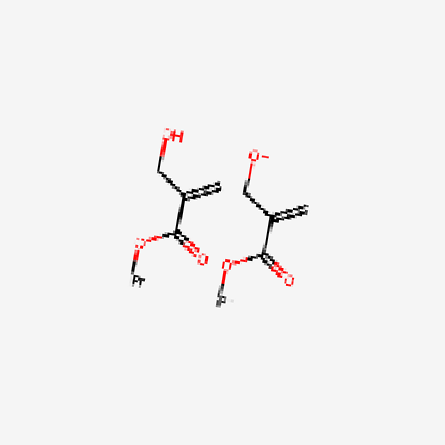 C=C(CO)C(=O)OC(C)C.C=C(CO)C(=O)OC(C)C